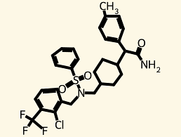 Cc1ccc(C(C(N)=O)C2CCC(CN(Cc3cccc(C(F)(F)F)c3Cl)S(=O)(=O)c3ccccc3)CC2)cc1